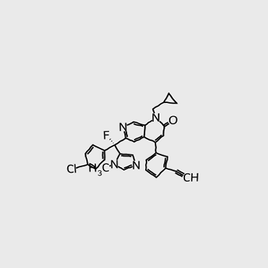 C#Cc1cccc(-c2cc(=O)n(CC3CC3)c3cnc([C@](F)(c4ccc(Cl)cc4)c4cncn4C)cc23)c1